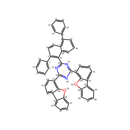 c1ccc(-c2ccc3c(-c4ccccc4)cccc3c2-c2nc(-c3cccc4c3oc3ccccc34)nc(-c3cccc4c3oc3ccccc34)n2)cc1